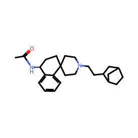 CC(=O)N[C@H]1CCC2(CCN(CCC3CC4CCC3C4)CC2)c2ccccc21